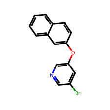 Brc1cncc(Oc2ccc3ccccc3c2)c1